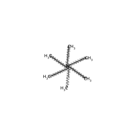 CCCCCCCCCCCCCCCCc1c(CCCCCCCCCCCCCCCC)c(CCCCCCCCCCCCCCCC)[n+](CCCCCCCCCCCCCCCC)c(CCCCCCCCCCCCCCCC)c1CCCCCCCCCCCCCCCC